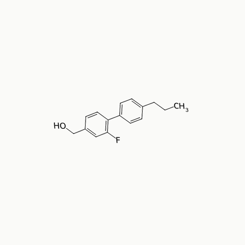 CCCc1ccc(-c2ccc(CO)cc2F)cc1